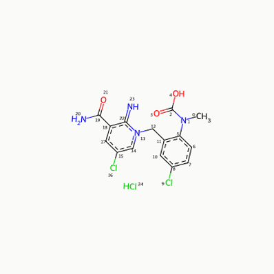 CN(C(=O)O)c1ccc(Cl)cc1Cn1cc(Cl)cc(C(N)=O)c1=N.Cl